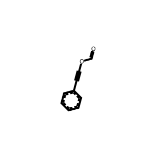 O=COC#Cc1ccccc1